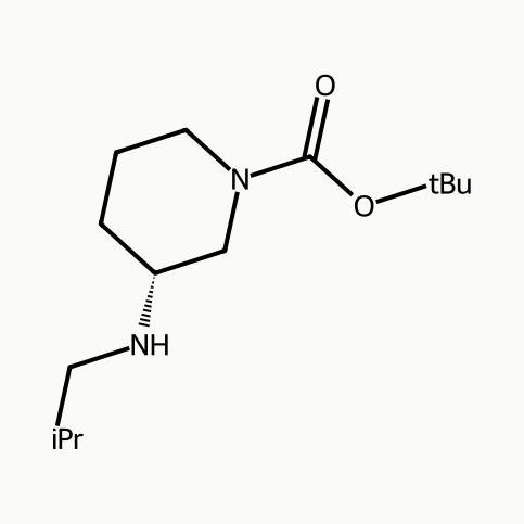 CC(C)CN[C@@H]1CCCN(C(=O)OC(C)(C)C)C1